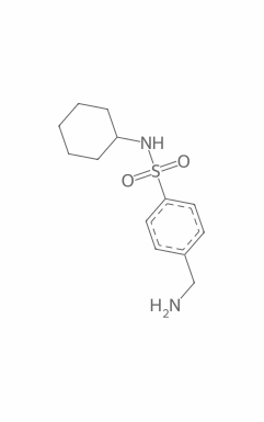 NCc1ccc(S(=O)(=O)NC2CCCCC2)cc1